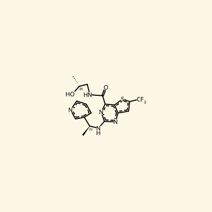 C[C@H](Nc1nc(C(=O)NC[C@@H](C)O)c2sc(C(F)(F)F)cc2n1)c1cccnc1